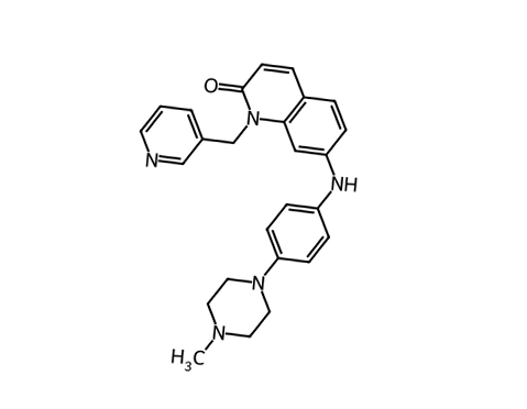 CN1CCN(c2ccc(Nc3ccc4ccc(=O)n(Cc5cccnc5)c4c3)cc2)CC1